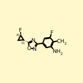 Cc1c(N)cc(-c2noc([C@@H]3C[C@H]3F)n2)cc1F